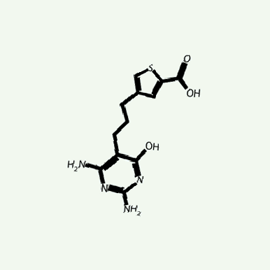 Nc1nc(N)c(CCCc2csc(C(=O)O)c2)c(O)n1